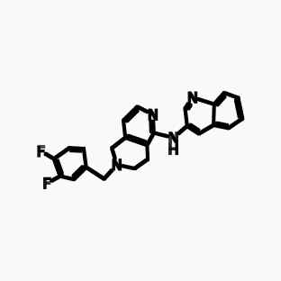 Fc1ccc(CN2CCc3c(ccnc3Nc3cnc4ccccc4c3)C2)cc1F